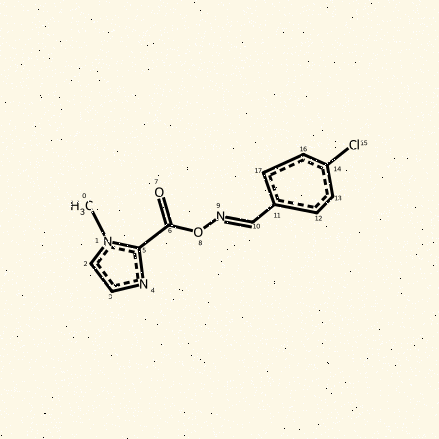 Cn1ccnc1C(=O)ON=Cc1ccc(Cl)cc1